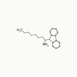 CCCCCCCC(N)C1c2ccccc2-c2ccccc21